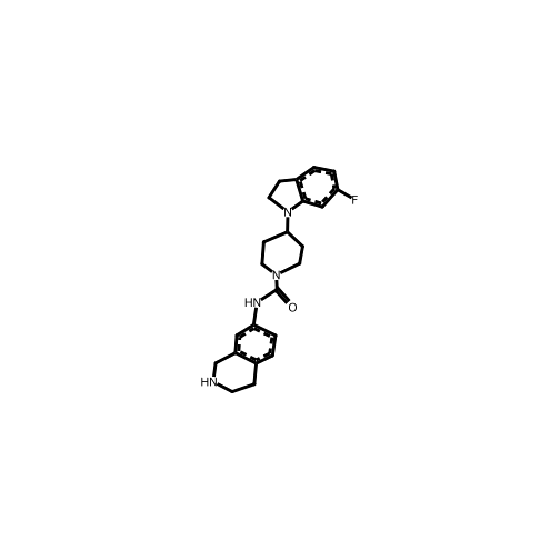 O=C(Nc1ccc2c(c1)CNCC2)N1CCC(N2CCc3ccc(F)cc32)CC1